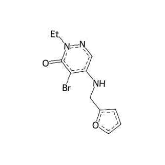 CCn1ncc(NCc2ccco2)c(Br)c1=O